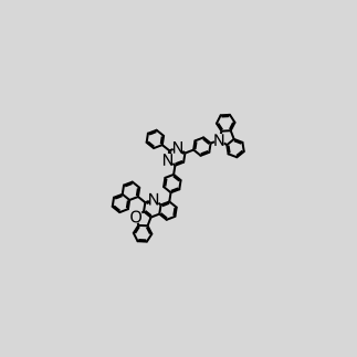 c1ccc(-c2nc(-c3ccc(-c4cccc5c4nc(-c4cccc6ccccc46)c4oc6ccccc6c45)cc3)cc(-c3ccc(-n4c5ccccc5c5ccccc54)cc3)n2)cc1